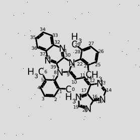 Cc1cccc(C)c1N1C(=C/C=c2/ncnc3c2=NC=N3)N(c2c(C)cccc2C)c2nc3ccccc3nc21